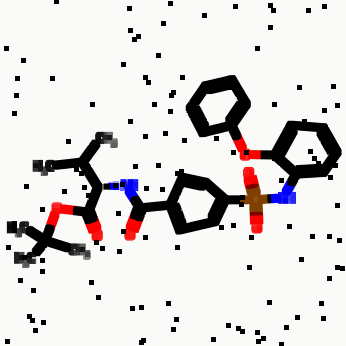 CC(C)[C@H](NC(=O)c1ccc(S(=O)(=O)Nc2ccccc2Oc2ccccc2)cc1)C(=O)OC(C)(C)C